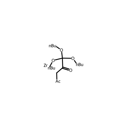 CCCCOC(OCCCC)(OCCCC)C(=O)CC(C)=O.[Zr]